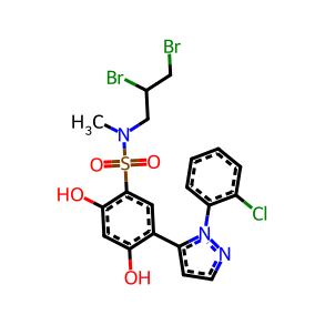 CN(CC(Br)CBr)S(=O)(=O)c1cc(-c2ccnn2-c2ccccc2Cl)c(O)cc1O